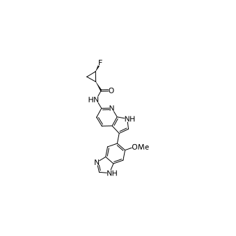 COc1cc2[nH]cnc2cc1-c1c[nH]c2nc(NC(=O)[C@H]3C[C@H]3F)ccc12